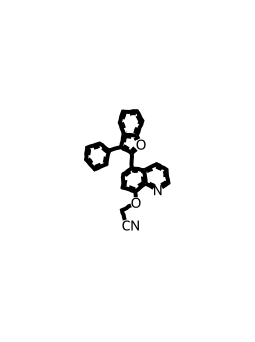 N#CCOc1ccc(-c2oc3ccccc3c2-c2ccccc2)c2cccnc12